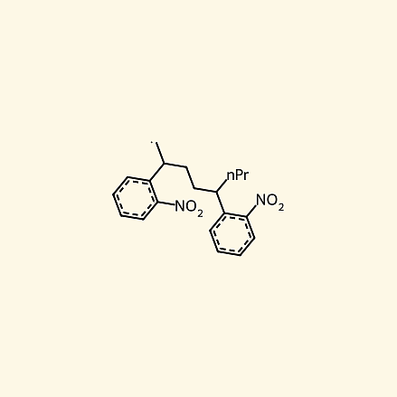 [CH2]C(CCC(CCC)c1ccccc1[N+](=O)[O-])c1ccccc1[N+](=O)[O-]